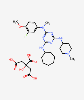 COc1ccc(N(C)c2nc(NC3CCCCCC3)nc(NC3CCN(C)CC3)n2)cc1F.O=C(O)CC(O)(CC(=O)O)C(=O)O